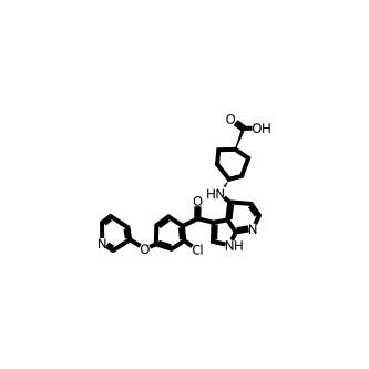 O=C(c1ccc(Oc2cccnc2)cc1Cl)c1c[nH]c2nccc(N[C@H]3CC[C@H](C(=O)O)CC3)c12